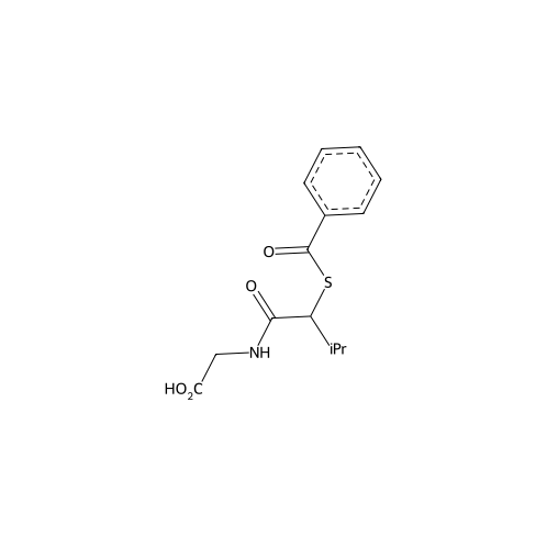 CC(C)C(SC(=O)c1ccccc1)C(=O)NCC(=O)O